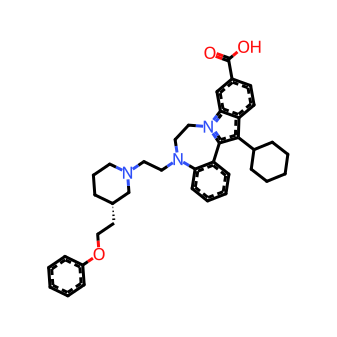 O=C(O)c1ccc2c(C3CCCCC3)c3n(c2c1)CCN(CCN1CCC[C@@H](CCOc2ccccc2)C1)c1ccccc1-3